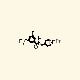 CCCN1CCC(CNC(=O)c2cc(F)cc(C(F)(F)F)c2)CC1